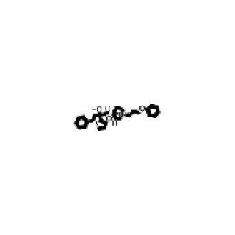 O=C(O[C@H]1C[N+]2(CCCOc3ccccc3)CCC1CC2)C(O)(CCc1ccccc1)c1cccs1